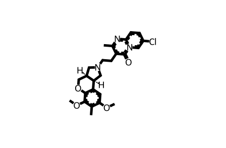 COc1cc2c(c(OC)c1C)OC[C@H]1CN(CCc3c(C)nc4ccc(Cl)cn4c3=O)C[C@@H]21